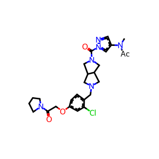 CC(=O)N(C)c1cnn(C(=O)N2CC3CN(Cc4ccc(OCC(=O)N5CCCC5)cc4Cl)CC3C2)c1